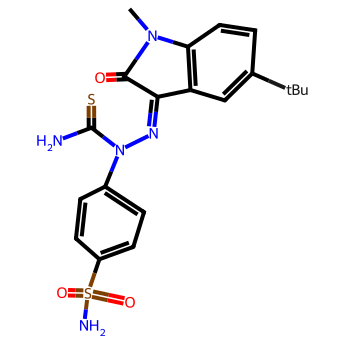 CN1C(=O)/C(=N\N(C(N)=S)c2ccc(S(N)(=O)=O)cc2)c2cc(C(C)(C)C)ccc21